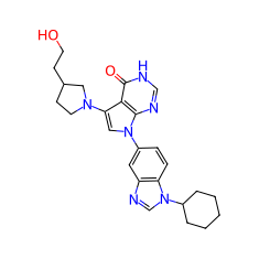 O=c1[nH]cnc2c1c(N1CCC(CCO)C1)cn2-c1ccc2c(c1)ncn2C1CCCCC1